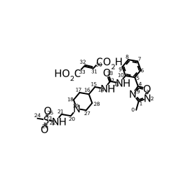 Cc1noc(-c2ccccc2NC(=O)NCC2CCN(CCNS(C)(=O)=O)CC2)n1.O=C(O)C=CC(=O)O